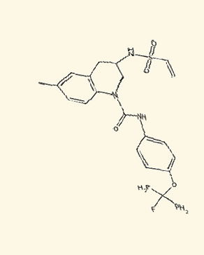 C=CS(=O)(=O)NC1Cc2cc(C)ccc2N(C(=O)Nc2ccc(OC(F)(P)P)cc2)C1